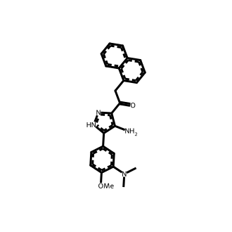 COc1ccc(-c2[nH]nc(C(=O)Cc3cccc4ccccc34)c2N)cc1N(C)C